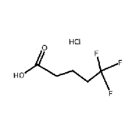 Cl.O=C(O)CCCC(F)(F)F